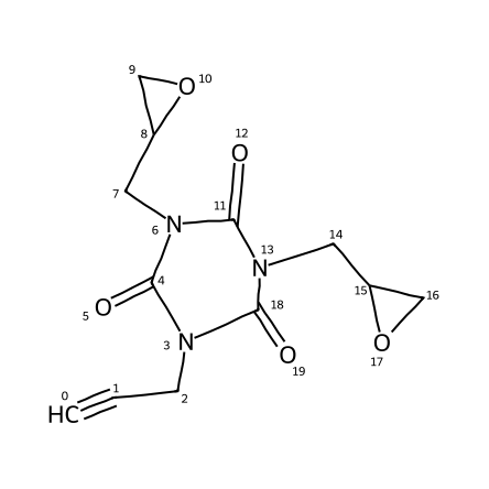 C#CCn1c(=O)n(CC2CO2)c(=O)n(CC2CO2)c1=O